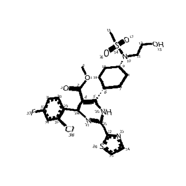 COC(=O)C1=C([C@H]2CC[C@@H](N(CCO)S(C)(=O)=O)CC2)NC(c2nccs2)=NC1c1ccc(F)cc1Cl